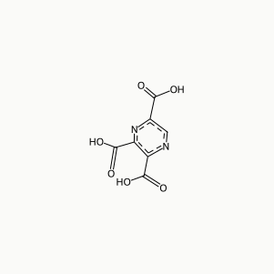 O=C(O)c1cnc(C(=O)O)c(C(=O)O)n1